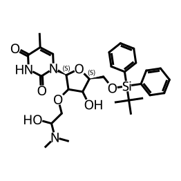 Cc1cn([C@H]2O[C@@H](CO[Si](c3ccccc3)(c3ccccc3)C(C)(C)C)C(O)C2OCC(O)N(C)C)c(=O)[nH]c1=O